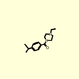 CCN1CCN(C(=O)c2ccc(C(C)C)cc2)CC1